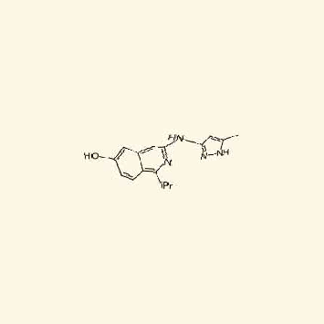 Cc1cc(Nc2cc3cc(O)ccc3c(C(C)C)n2)n[nH]1